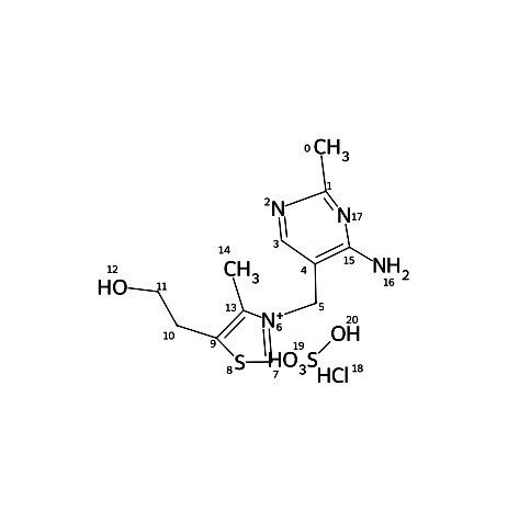 Cc1ncc(C[n+]2csc(CCO)c2C)c(N)n1.Cl.O=S(=O)(O)O